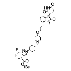 Cn1c(=O)n(C2CCC(=O)NC2=O)c2cccc(CCCOC3CCN(C[C@H]4CC[C@H](n5cc(NC(=O)OC(C)(C)C)c(C(F)F)n5)CC4)CC3)c21